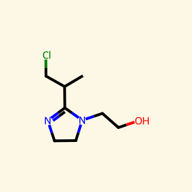 CC(CCl)C1=NCCN1CCO